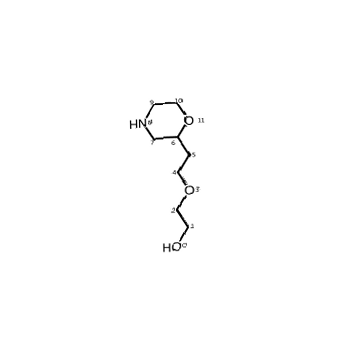 OCCOCCC1CNCCO1